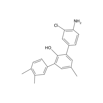 Cc1cc(-c2ccc(C)c(C)c2)c(O)c(-c2ccc(N)c(Cl)c2)c1